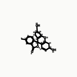 Cc1ccc2c(c1)C(=O)OC21C2=C(CC(O)C=C2)OC2=C1CCC(O)=C2